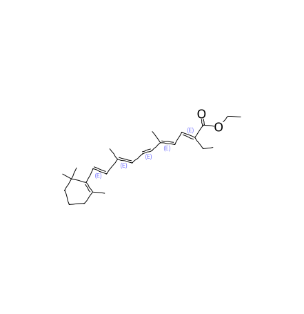 CCOC(=O)/C(=C/C=C(C)/C=C/C=C(C)/C=C/C1=C(C)CCCC1(C)C)CC